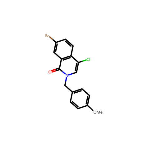 COc1ccc(Cn2cc(Cl)c3ccc(Br)cc3c2=O)cc1